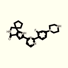 O=C1NCC2(CCCC2)c2[nH]c(-c3ccnc(-c4ccc(N5CCNCC5)cc4F)n3)cc21